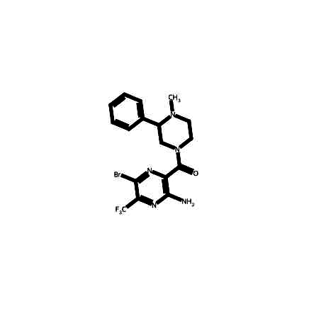 CN1CCN(C(=O)c2nc(Br)c(C(F)(F)F)nc2N)CC1c1ccccc1